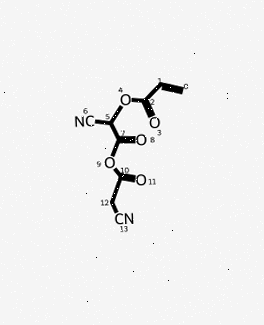 C=CC(=O)OC(C#N)C(=O)OC(=O)CC#N